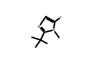 Cn1c(F)cnc1C(C)(C)C